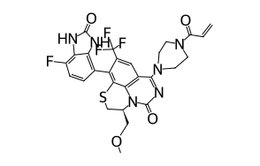 C=CC(=O)N1CCN(c2nc(=O)n3c4c(c(-c5ccc(F)c6[nH]c(=O)[nH]c56)c(C(F)(F)F)cc24)SC[C@@H]3COC)CC1